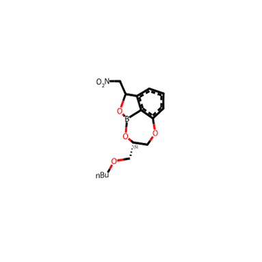 CCCCOC[C@H]1COc2cccc3c2B(OC3C[N+](=O)[O-])O1